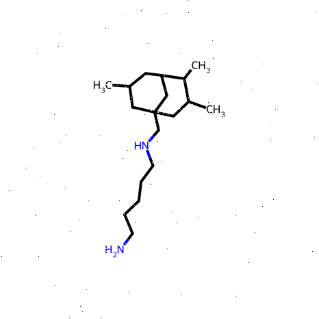 CC1CC2CC(CNCCCCCN)(C1)CC(C)C2C